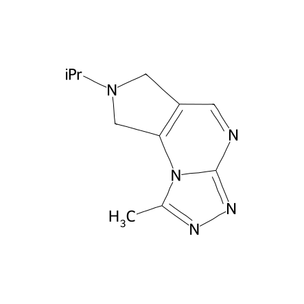 Cc1nnc2ncc3c(n12)CN(C(C)C)C3